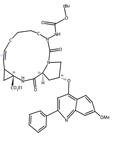 CCOC(=O)[C@@]12CC1/C=C\CCCCN(NC(=O)OC(C)(C)C)C(=O)N1C[C@H](Oc3cc(-c4ccccc4)nc4cc(OC)ccc34)C[C@H]1C(=O)N2